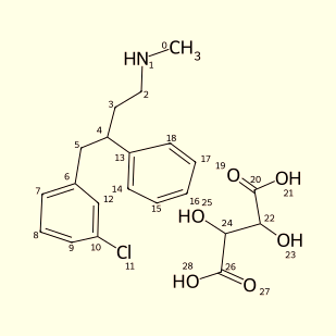 CNCCC(Cc1cccc(Cl)c1)c1ccccc1.O=C(O)C(O)C(O)C(=O)O